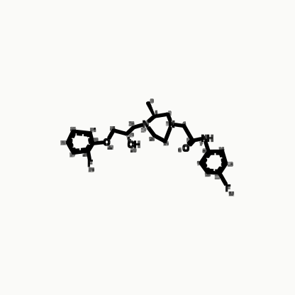 C[C@H]1CN(CC(=O)Nc2ccc(F)cc2)CCN1C[C@H](O)COc1ccccc1F